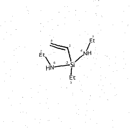 C=C[Si](CC)(NCC)NCC